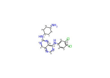 NC1CCC(Nc2ncc3ncnc(Nc4ccc(Cl)c(Cl)c4)c3n2)CC1